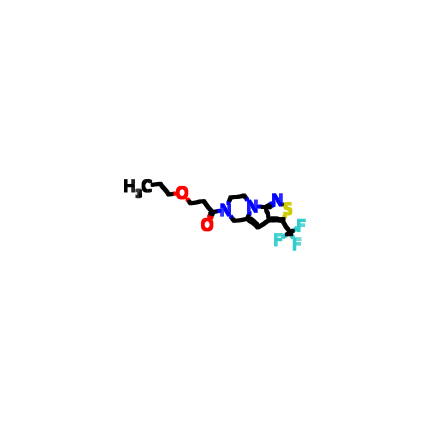 CCCOCCC(=O)N1CCn2c(cc3c(C(F)(F)F)snc32)C1